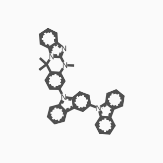 CN1c2cc(-n3c4ccccc4c4cc(-n5c6ccccc6c6ccccc65)ccc43)ccc2C(C)(C)n2c1nc1ccccc12